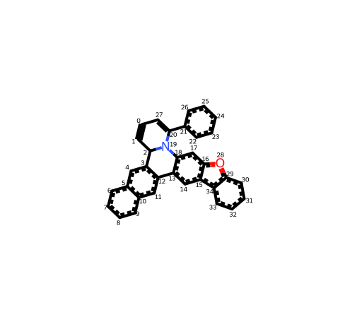 C1#CC2c3cc4ccccc4cc3-c3cc4c(cc3N2C(c2ccccc2)=C1)oc1ccccc14